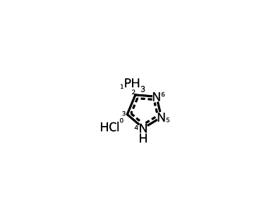 Cl.P.c1c[nH]nn1